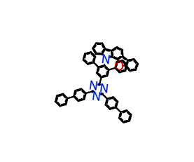 c1ccc(-c2ccc(-c3nc(-c4ccc(-c5ccccc5)cc4)nc(-c4cc(-c5ccccc5)c(-n5c6ccccc6c6ccc7c8ccccc8oc7c65)c(-c5ccccc5)c4)n3)cc2)cc1